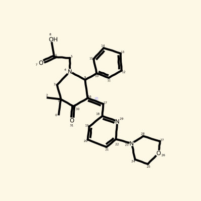 CC1(C)CN(CC(=O)O)C(c2ccccc2)/C(=C/c2cccc(N3CCOCC3)n2)C1=O